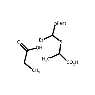 CCC(=O)O.CCCCCC(CC)SC(C)C(=O)O